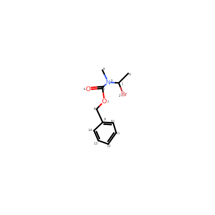 CC(Br)N(C)C(=O)OCc1ccccc1